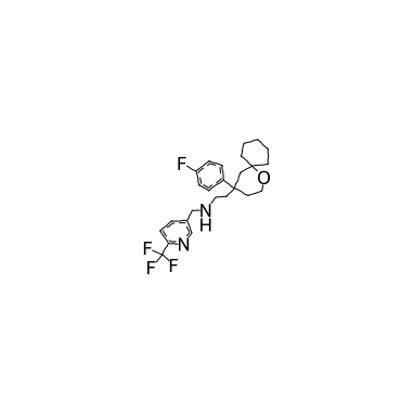 Fc1ccc(C2(CCNCc3ccc(C(F)(F)F)nc3)CCOC3(CCCCC3)C2)cc1